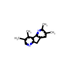 Cc1cc2c(nc1C)-c1c(ncc(C)c1C)C2